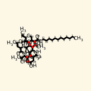 CCCCCCCCCCCCOC(=O)C(NC(=O)C(CC(C)C)NC(=O)C(CC(=O)O)NC(=O)C(NC(=O)C(CC(C)C)NC(=O)C(CC(C)C)NC(=O)CCC)C(C)C)C(C)CC